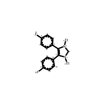 CCN1CN(CC)C(c2ccc(F)cc2)=C1c1ccc(F)cc1